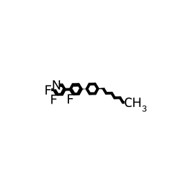 CCCCCCC[C@H]1CC[C@H](c2ccc(-c3cnc(F)c(F)c3)c(F)c2)CC1